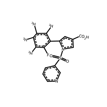 [2H]c1c([2H])c([2H])c(-c2cc(C(=O)O)cn2S(=O)(=O)c2cccnc2)c(F)c1[2H]